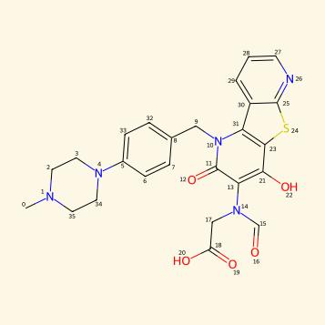 CN1CCN(c2ccc(Cn3c(=O)c(N(C=O)CC(=O)O)c(O)c4sc5ncccc5c43)cc2)CC1